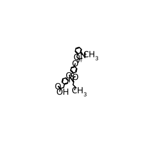 CCCCN(c1cccc(CC(=O)O)c1)S(=O)(=O)c1ccc(OC[C@@H]2CN(C)c3ccccc3O2)cc1